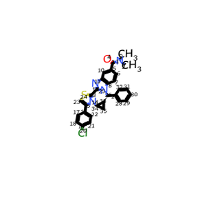 CN(C)C(=O)c1ccc2c(c1)nc(-c1nc(-c3ccc(Cl)cc3)cs1)n2[C@H](c1ccccc1)C1CC1